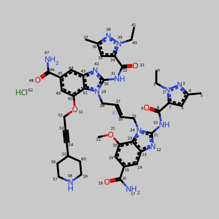 CCn1nc(C)cc1C(=O)Nc1nc2cc(C(N)=O)cc(OC)c2n1C/C=C/Cn1c(NC(=O)c2cc(C)nn2CC)nc2cc(C(N)=O)cc(OCC#CC3CCNCC3)c21.Cl